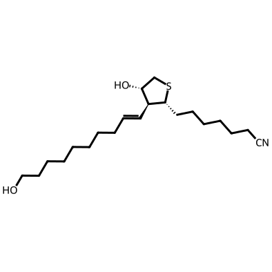 N#CCCCCCC[C@H]1SC[C@@H](O)[C@@H]1C=CCCCCCCCCO